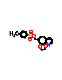 Cc1ccc(S(=O)(=O)OC[C@@H]2CCc3cccnc3C3(C2)OCCO3)cc1